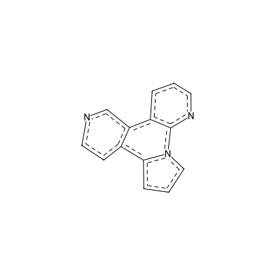 c1cnc2c(c1)c1cnccc1c1cccn12